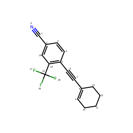 N#Cc1ccc(C#CC2=CCCCC2)c(C(F)(F)F)c1